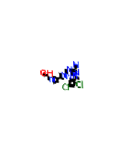 CC(c1ccc(Cl)cc1Cl)n1nc(C#N)c2ncc(N3CC(C4CCN(CCCO)C4)C3)nc21